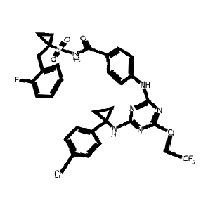 O=C(NS(=O)(=O)C1(Cc2ccccc2F)CC1)c1ccc(Nc2nc(NC3(c4ccc(Cl)cc4)CC3)nc(OCC(F)(F)F)n2)cc1